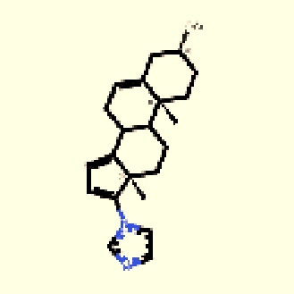 CC(=O)O[C@H]1CC[C@@]2(C)C(=CCC3C4=CC=C(n5ccnc5)[C@@]4(C)CCC32)C1